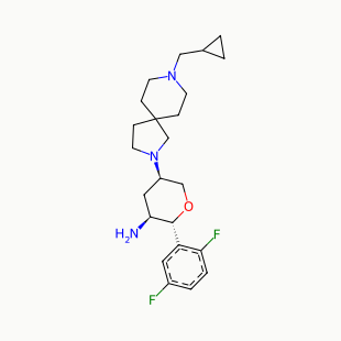 N[C@H]1C[C@@H](N2CCC3(CCN(CC4CC4)CC3)C2)CO[C@@H]1c1cc(F)ccc1F